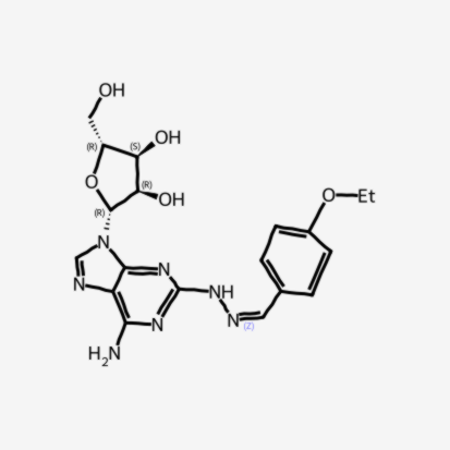 CCOc1ccc(/C=N\Nc2nc(N)c3ncn([C@@H]4O[C@H](CO)[C@@H](O)[C@H]4O)c3n2)cc1